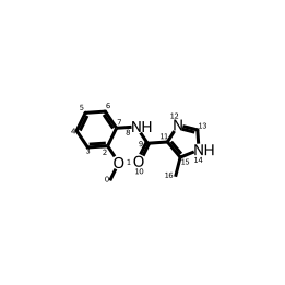 COc1ccccc1NC(=O)c1nc[nH]c1C